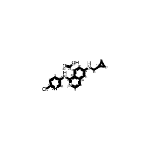 Clc1ccc(Nc2nccc3cc(NCC4CC4)ccc23)cn1.O=CO